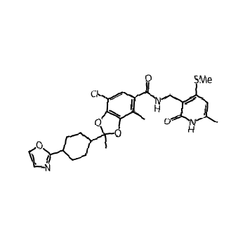 CSc1cc(C)[nH]c(=O)c1CNC(=O)c1cc(Cl)c2c(c1C)OC(C)(C1CCC(c3ncco3)CC1)O2